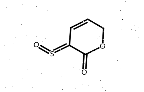 O=S=C1C=CCOC1=O